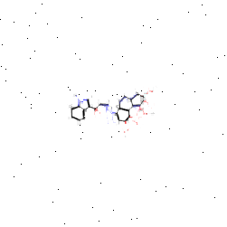 COC\C(=C/C(/C=C\c1cc(OC)c(OC)cc1N/C=C\C(=O)c1cn(C)c2ccccc12)=C\C(C)OC)OC